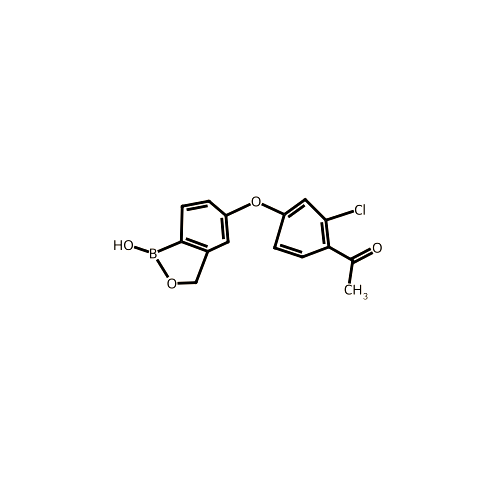 CC(=O)c1ccc(Oc2ccc3c(c2)COB3O)cc1Cl